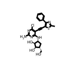 Cc1nc(-c2ccccc2)c(C#Cc2c(Cl)nc(N)nc2N[C@@H]2C[C@H](CO)[C@@H](O)[C@H]2O)s1